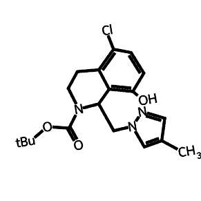 Cc1cnn(CC2c3c(O)ccc(Cl)c3CCN2C(=O)OC(C)(C)C)c1